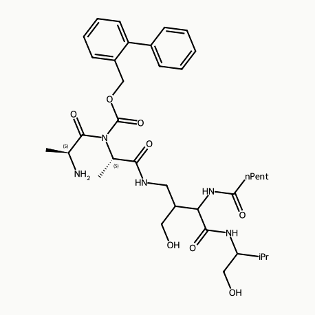 CCCCCC(=O)NC(C(=O)NC(CO)C(C)C)C(CO)CNC(=O)[C@H](C)N(C(=O)OCc1ccccc1-c1ccccc1)C(=O)[C@H](C)N